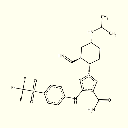 CC(C)N[C@@H]1CC[C@H](n2cc(C(N)=O)c(Nc3ccc(S(=O)(=O)C(F)(F)F)cc3)n2)[C@@H](C=N)C1